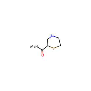 CNC(=O)C1C[N]CCS1